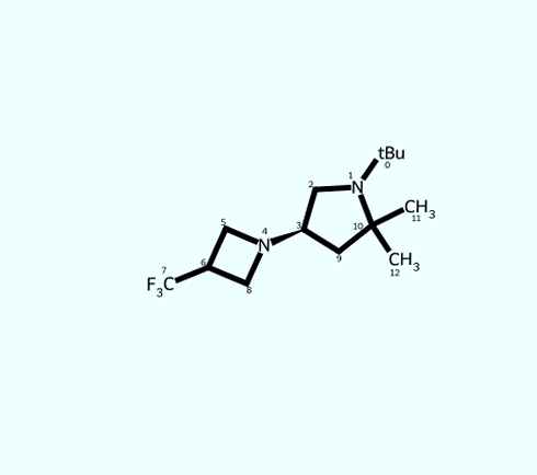 CC(C)(C)N1C[C@H](N2CC(C(F)(F)F)C2)CC1(C)C